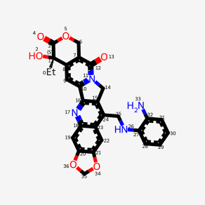 CC[C@@]1(O)C(=O)OCc2c1cc1n(c2=O)Cc2c-1nc1cc3c(cc1c2CNc1ccccc1N)OCO3